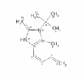 C=C/C=C\C1=C(C)N(C(C)(C)C)C(=C)N1